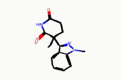 Cn1nc(C2(C)CCC(=O)NC2=O)c2ccccc21